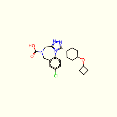 O=C(O)N1Cc2cc(Cl)ccc2-n2c(nnc2[C@H]2CC[C@H](OC3CCC3)CC2)C1